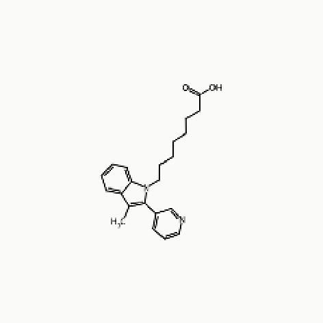 Cc1c(-c2cccnc2)n(CCCCCCCC(=O)O)c2ccccc12